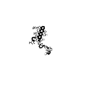 COc1cccc2c1C(=O)c1c(O)c3c(c(O)c1C2=O)C[C@@](O)(C(=O)COC1CCCC(COCC(=O)ON2C(=O)CCC2=O)O1)C[C@@H]3O[C@H]1CCC[C@H](C)O1